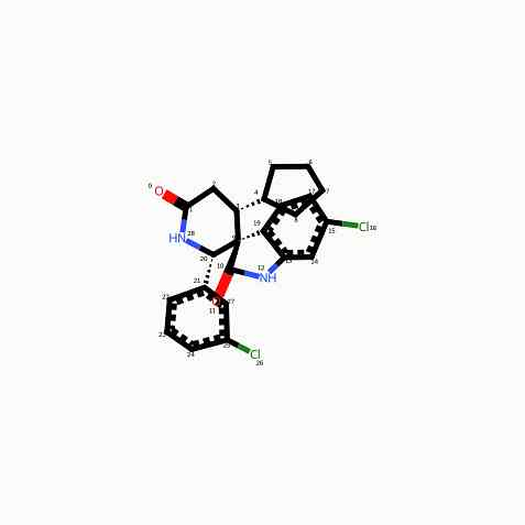 O=C1C[C@H](C2CCCC2)[C@@]2(C(=O)Nc3cc(Cl)ccc32)[C@H](c2cccc(Cl)c2)N1